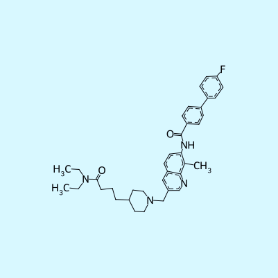 CCN(CC)C(=O)CCCC1CCN(Cc2cnc3c(C)c(NC(=O)c4ccc(-c5ccc(F)cc5)cc4)ccc3c2)CC1